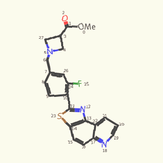 COC(=O)C1CN(Cc2ccc(-c3nc4c(ccc5ncccc54)s3)c(F)c2)C1